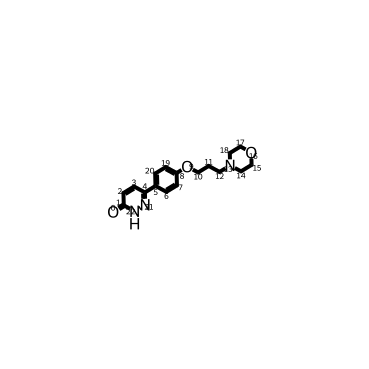 O=c1ccc(-c2ccc(OCCCN3CCOCC3)cc2)n[nH]1